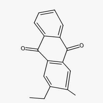 CCc1cc2c(cc1C)C(=O)c1ccccc1C2=O